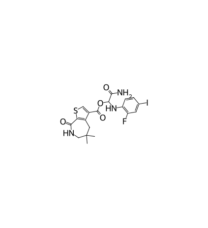 CC1(C)CNC(=O)c2scc(C(=O)OC(Nc3ccc(I)cc3F)C(N)=O)c2C1